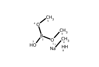 COB(O)OC.[CH3][Na].[HH]